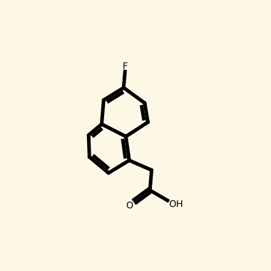 O=C(O)Cc1cccc2cc(F)ccc12